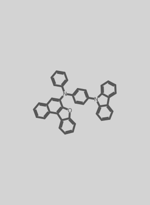 c1ccc(N(c2ccc(-n3c4ccccc4c4ccccc43)cc2)c2cc3ccccc3c3c2oc2ccccc23)cc1